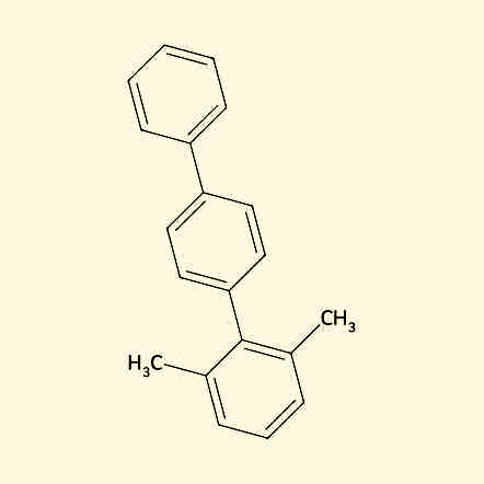 Cc1cccc(C)c1-c1ccc(-c2ccccc2)cc1